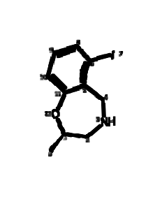 C[C@@H]1CNCc2c(I)cccc2O1